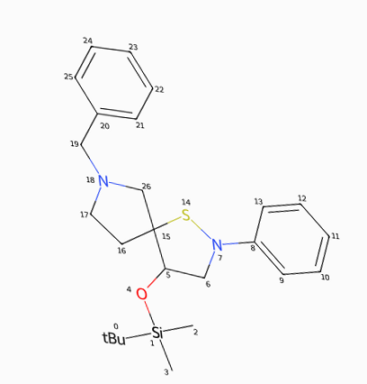 CC(C)(C)[Si](C)(C)OC1CN(c2ccccc2)SC12CCN(Cc1ccccc1)C2